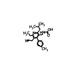 CCc1nc(CC(C)C)c(CNC(=O)O)c(-c2ccc(C)cc2)c1CC#N